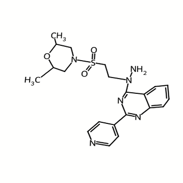 CC1CN(S(=O)(=O)CCN(N)c2nc(-c3ccncc3)nc3ccccc23)CC(C)O1